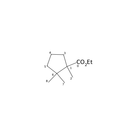 CCOC(=O)C1(C)CCCC1(C)C